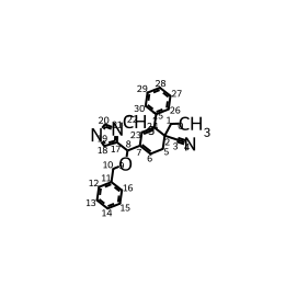 CCC1(C#N)CC=C(C(OCc2ccccc2)c2cncn2C)C=C1c1ccccc1